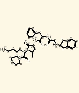 CC1C[C@@H](NC(=O)[C@@H](Cc2ccccc2)NC(=O)CNC2Cc3ccccc3C2)C(=O)N1[C@H](CCCCN)C(=O)N1CCOCC1